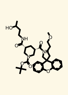 COCCCCC1(CNC(=O)[C@H]2C[C@@H](C(=O)NCCC(C)O)CN(C(=O)OC(C)(C)C)C2)c2ccccc2Oc2ccccc21